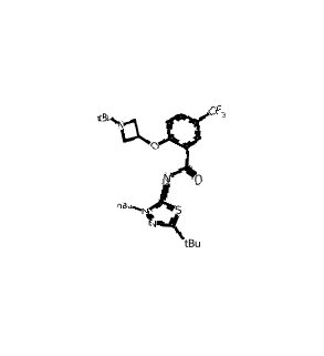 CCCCn1nc(C(C)(C)C)sc1=NC(=O)c1cc(C(F)(F)F)ccc1OC1CN(C(C)(C)C)C1